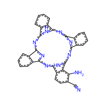 N#Cc1ccc2c3nc4nc(nc5[nH]c(nc6nc(nc([nH]3)c2c1N)-c1ccccc1-6)c1ccccc51)-c1ccccc1-4